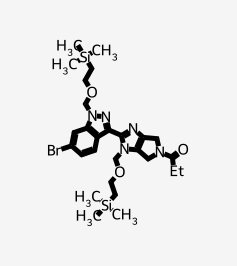 CCC(=O)N1Cc2nc(-c3nn(COCC[Si](C)(C)C)c4cc(Br)ccc34)n(COCC[Si](C)(C)C)c2C1